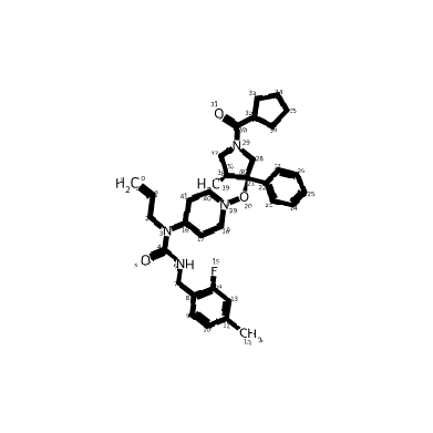 C=CCN(C(=O)NCc1ccc(C)cc1F)C1CCN(O[C@]2(c3ccccc3)CN(C(=O)C3CCCC3)C[C@@H]2C)CC1